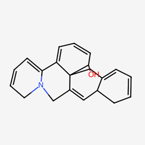 OC1C=CC=C2C3=CC=CCN3CC3=CC4CC=CC=C4CC321